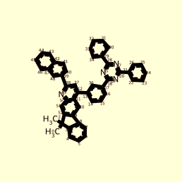 CC1(C)c2ccccc2-c2cc3c(-c4cccc(-c5nc(-c6ccccc6)nc(-c6ccccc6)n5)c4)cc(-c4ccc5ccccc5c4)nc3cc21